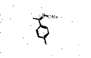 [CH2]c1ccc(/C(C)=N\OC)cc1